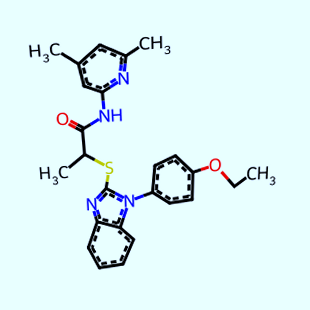 CCOc1ccc(-n2c(SC(C)C(=O)Nc3cc(C)cc(C)n3)nc3ccccc32)cc1